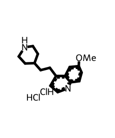 COc1ccc2nccc(CCC3CCNCC3)c2c1.Cl.Cl